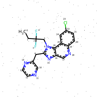 CCC(F)(F)Cn1c(Cc2cnccn2)nc2cnc3ccc(Cl)cc3c21